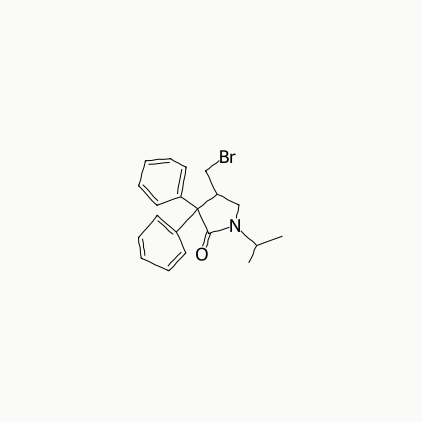 CC(C)N1CC(CBr)C(c2ccccc2)(c2ccccc2)C1=O